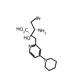 CC(C)C[C@H](N)[C@](O)(Cc1cc(N2CCCCC2)ccn1)C(=O)O